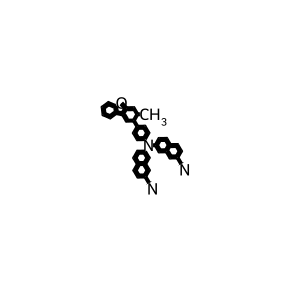 CC1C=c2oc3ccccc3c2=CC1c1ccc(N(c2ccc3ccc(C#N)cc3c2)c2ccc3ccc(C#N)cc3c2)cc1